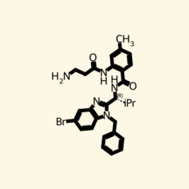 Cc1ccc(C(=O)N[C@@H](c2nc3cc(Br)ccc3n2Cc2ccccc2)C(C)C)c(NC(=O)CCN)c1